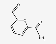 NC(=O)C1=CC=CC(C=O)O1